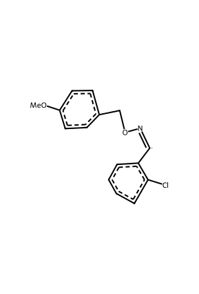 COc1ccc(CO/N=[C]\c2ccccc2Cl)cc1